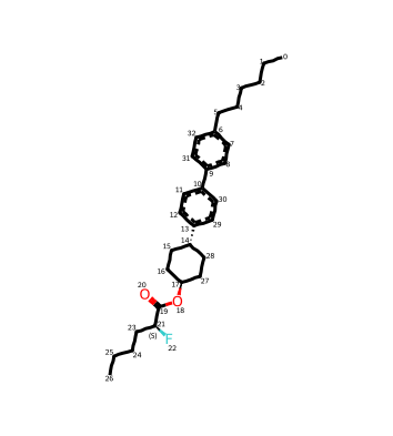 CCCCCCc1ccc(-c2ccc([C@H]3CC[C@H](OC(=O)[C@@H](F)CCCC)CC3)cc2)cc1